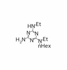 CCCCCCN(CC)c1nc(N)nc(NCC)n1